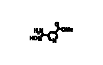 COC(=O)c1cncc(/C(N)=N/O)c1